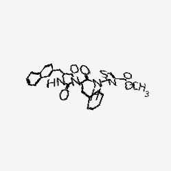 COC(=O)c1csc(NC(=O)C(CC2CCCCC2)N2C(=O)NC(Cc3ccc4ccccc4c3)C2=O)n1